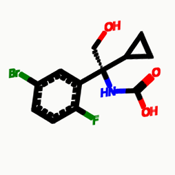 O=C(O)N[C@@](CO)(c1cc(Br)ccc1F)C1CC1